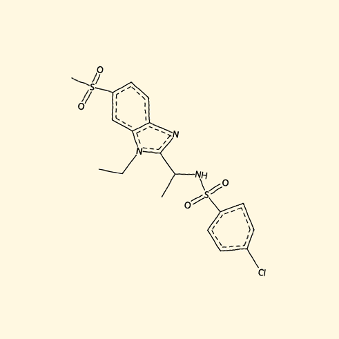 CCn1c(C(C)NS(=O)(=O)c2ccc(Cl)cc2)nc2ccc(S(C)(=O)=O)cc21